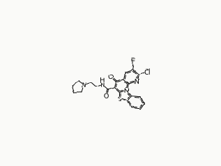 O=C(NCCN1CCCC1)c1c(=O)c2cc(F)c(Cl)nc2n2c1sc1ccccc12